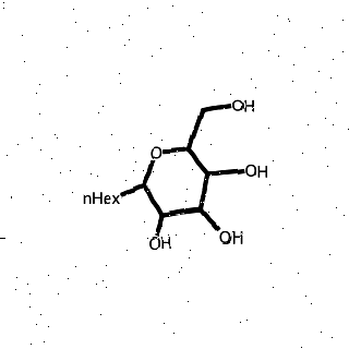 CCCCCCC1OC(CO)C(O)C(O)C1O